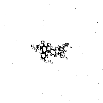 Cc1ccc2c(n1)c(N1CC[C@@H](N(C)c3ccc(OC(F)(F)F)cc3)[C@@H](C)C1)c(C#N)c(=O)n2C